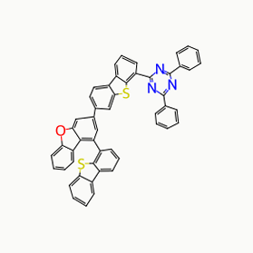 c1ccc(-c2nc(-c3ccccc3)nc(-c3cccc4c3sc3cc(-c5cc(-c6cccc7c6sc6ccccc67)c6c(c5)oc5ccccc56)ccc34)n2)cc1